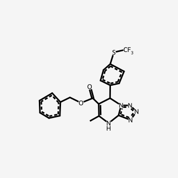 CC1=C(C(=O)OCc2ccccc2)C(c2ccc(SC(F)(F)F)cc2)n2nnnc2N1